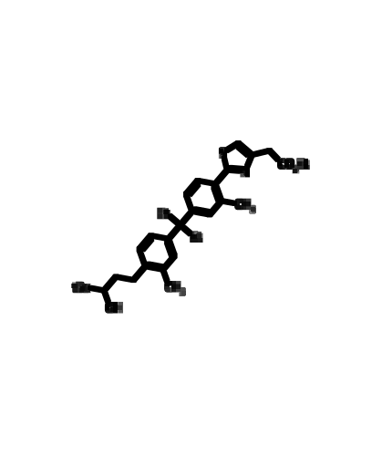 CCOC(=O)Cc1csc(-c2ccc(C(CC)(CC)c3ccc(CCC(O)C(C)(C)C)c(C)c3)cc2C)n1